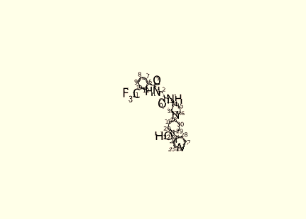 O=C(CNC(=O)c1cccc(C(F)(F)F)c1)NC1CCN(C2CCC(O)(c3ccncc3)CC2)C1